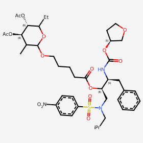 CCC1OC(OCCCCC(=O)O[C@H](CN(CC(C)C)S(=O)(=O)c2ccc([N+](=O)[O-])cc2)[C@H](Cc2ccccc2)NC(=O)O[C@H]2CCOC2)C(C)[C@@H](OC(C)=O)[C@@H]1OC(C)=O